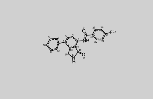 O=C(Nc1ccc(-c2ccccc2)c2c1C(=O)NC2)c1ccc(F)cc1